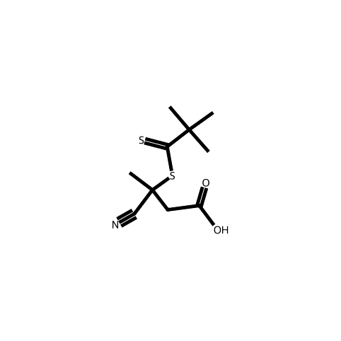 CC(C#N)(CC(=O)O)SC(=S)C(C)(C)C